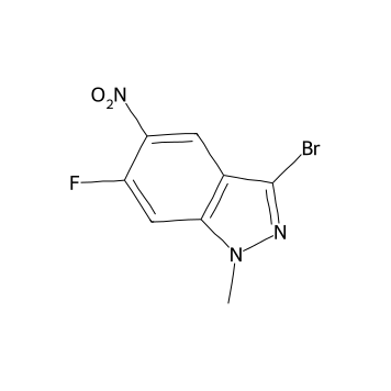 Cn1nc(Br)c2cc([N+](=O)[O-])c(F)cc21